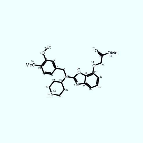 CCOc1cc(CN(c2nc3cccc(OCC(=O)OC)c3o2)C2CCNCC2)ccc1OC